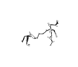 C=CC(=O)OCCCC[Si](C)(OCC)OCC